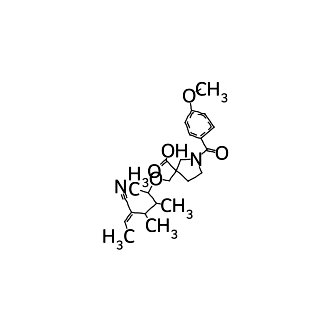 C/C=C(/C#N)C(C)C(C)C(C)OCC1(C(=O)O)CCN(C(=O)c2ccc(OC)cc2)C1